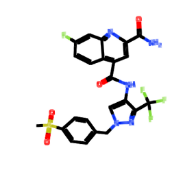 CS(=O)(=O)c1ccc(Cn2cc(NC(=O)c3cc(C(N)=O)nc4cc(F)ccc34)c(C(F)(F)F)n2)cc1